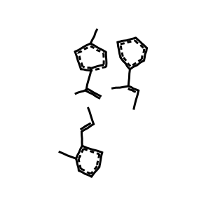 C=C(C)c1ccc(C)cc1.CC=C(C)c1ccccc1.CC=Cc1ccccc1C